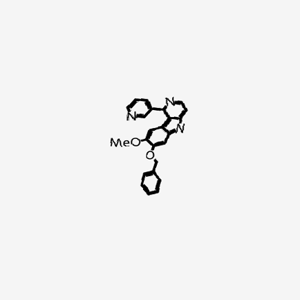 COc1cc2c(cc1OCc1ccccc1)=NC1=CC=NC(c3cccnc3)C=21